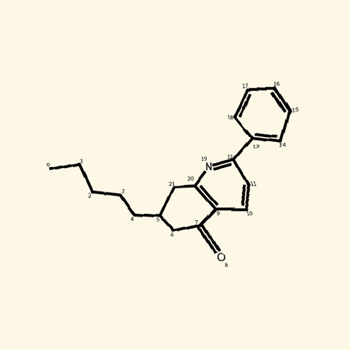 CCCCCC1CC(=O)c2ccc(-c3ccccc3)nc2C1